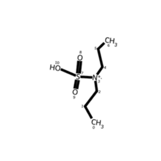 CCC[N+](CCC)S(=O)(=O)O